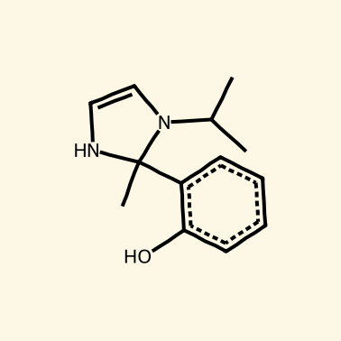 CC(C)N1C=CNC1(C)c1ccccc1O